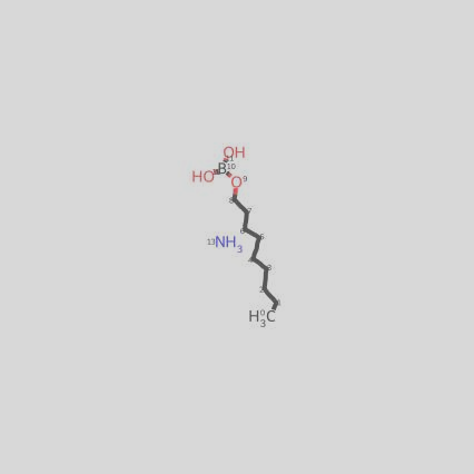 CCCCCCCCCOB(O)O.N